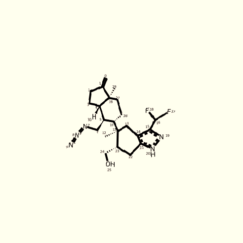 C=C1CC[C@H]2[C@H](CN=[N+]=[N-])[C@@H]([C@@]3(C)Cc4c(C(F)F)n[nH]c4C[C@@H]3CO)CC[C@]12C